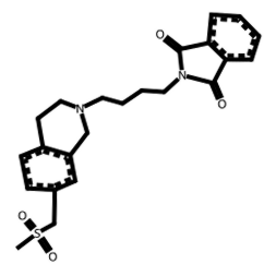 CS(=O)(=O)Cc1ccc2c(c1)CN(CCCCN1C(=O)c3ccccc3C1=O)CC2